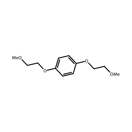 COCCOc1ccc(OCCOC)cc1